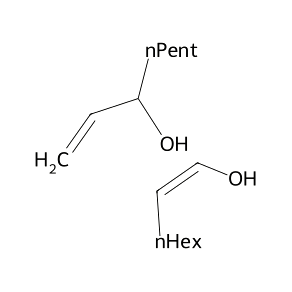 C=CC(O)CCCCC.CCCCCC/C=C\O